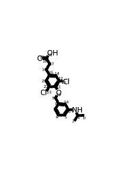 CC(C)Nc1cccc(COc2c(Cl)cc(CCC(=O)O)cc2Cl)c1